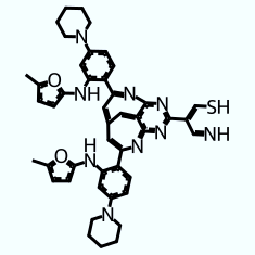 Cc1ccc(Nc2cc(N3CCCCC3)ccc2C2=CC3=CC(c4ccc(N5CCCCC5)cc4Nc4ccc(C)o4)=Nc4nc(/C(C=N)=C/S)nc(c4=C3)=N2)o1